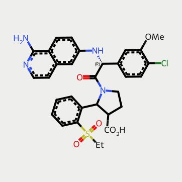 CCS(=O)(=O)c1ccccc1C1C(C(=O)O)CCN1C(=O)[C@H](Nc1ccc2c(N)nccc2c1)c1ccc(Cl)c(OC)c1